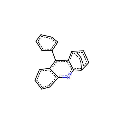 c1ccc(-c2c3ccccc3nc3c4ccc(cc4)c23)cc1